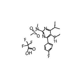 CPc1c(-c2ccc(F)cc2)nc(N(C)S(C)(=O)=O)nc1C(C)C.O=C(O)C(F)(F)F